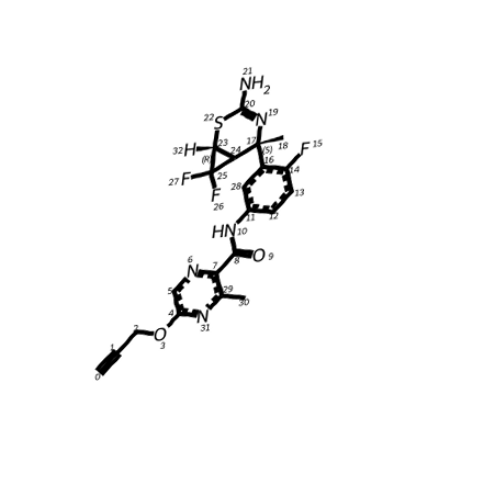 C#CCOc1cnc(C(=O)Nc2ccc(F)c([C@@]3(C)N=C(N)S[C@@H]4C3C4(F)F)c2)c(C)n1